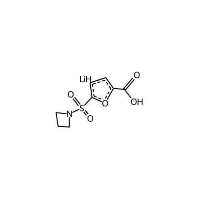 O=C(O)c1ccc(S(=O)(=O)N2CCC2)o1.[LiH]